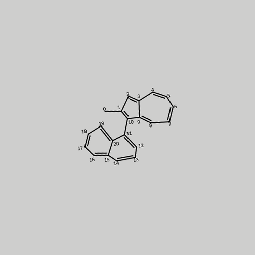 Cc1[c]c2cccccc-2c1-c1cccc2ccccc12